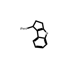 CCCC(C)C1CCC2=C1c1ccccc1[N]2